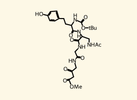 COC(=O)CC(=O)CNC(=O)CNC(=O)C(CNC(C)=O)NC(=O)C(CCc1ccc(O)cc1)NC(=O)OC(C)(C)C